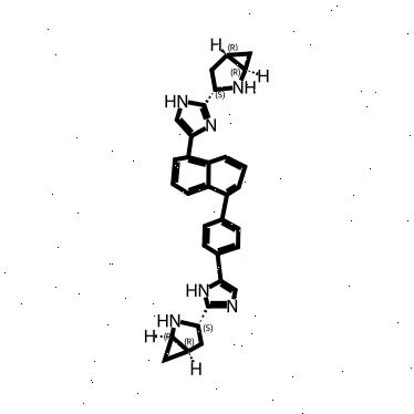 c1cc(-c2c[nH]c([C@@H]3C[C@H]4C[C@H]4N3)n2)c2cccc(-c3ccc(-c4cnc([C@@H]5C[C@H]6C[C@H]6N5)[nH]4)cc3)c2c1